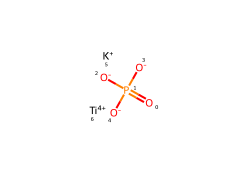 O=P([O-])([O-])[O-].[K+].[Ti+4]